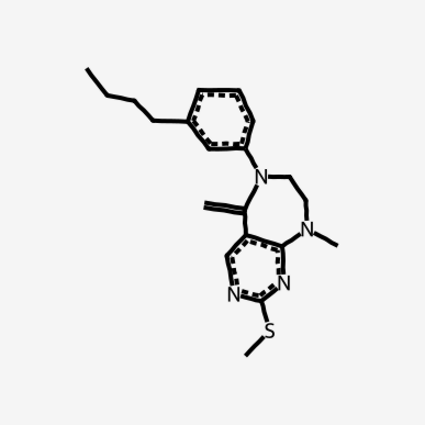 C=C1c2cnc(SC)nc2N(C)CCN1c1cccc(CCCC)c1